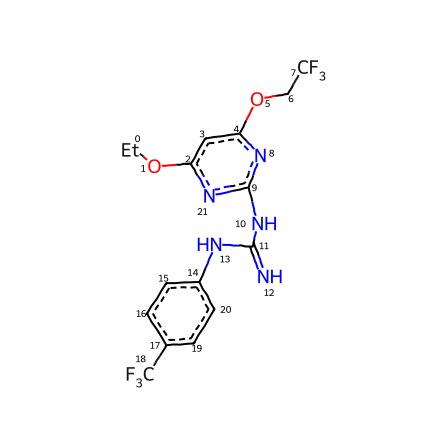 CCOc1cc(OCC(F)(F)F)nc(NC(=N)Nc2ccc(C(F)(F)F)cc2)n1